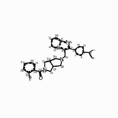 CC(C)c1ccc(-c2nc3ccccn3c2CN2CC3CN(C(=O)c4ccccc4F)CC3C2)cc1